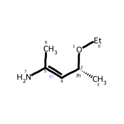 CCO[C@H](C)/C=C(\C)N